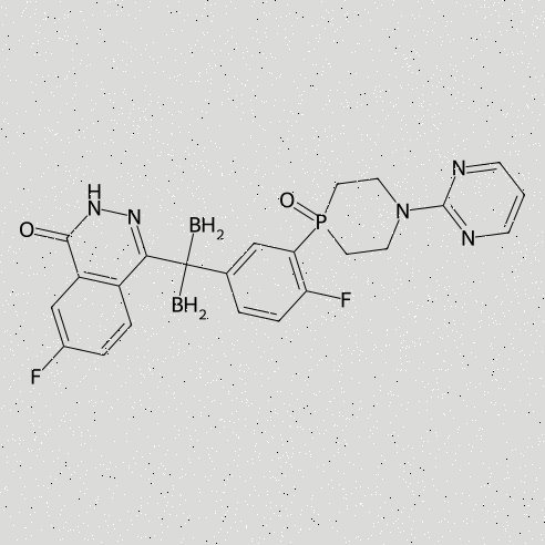 BC(B)(c1ccc(F)c(P2(=O)CCN(c3ncccn3)CC2)c1)c1n[nH]c(=O)c2cc(F)ccc12